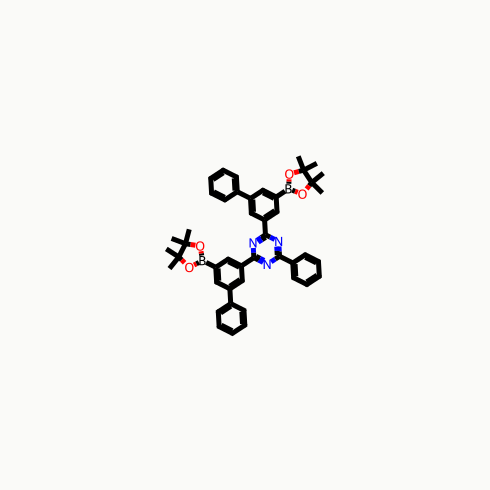 CC1(C)OB(c2cc(-c3ccccc3)cc(-c3nc(-c4ccccc4)nc(-c4cc(B5OC(C)(C)C(C)(C)O5)cc(-c5ccccc5)c4)n3)c2)OC1(C)C